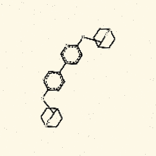 c1cc(OC2CN3CCC2CC3)ncc1-c1ccc(OC2CN3CCC2CC3)nc1